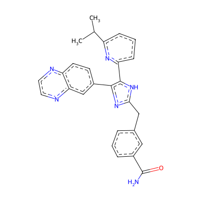 CC(C)c1cccc(-c2[nH]c(Cc3cccc(C(N)=O)c3)nc2-c2ccc3nccnc3c2)n1